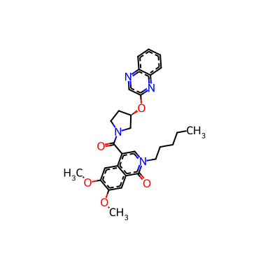 CCCCCn1cc(C(=O)N2CC[C@@H](Oc3cnc4ccccc4n3)C2)c2cc(OC)c(OC)cc2c1=O